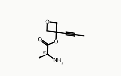 CC#CC1(OC(=O)[C@H](C)N)COC1